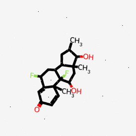 CC1CC2C3CC(F)C4=CC(=O)C=CC4(C)C3(F)C(O)CC2(C)C1O